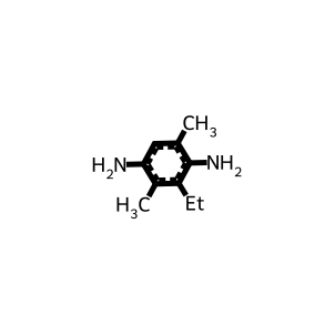 CCc1c(C)c(N)cc(C)c1N